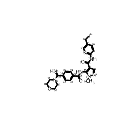 Cn1ncc(C(=O)Nc2ccc(CI)cn2)c1NC(=O)c1ccc(C(=N)N2CCOCC2)cc1